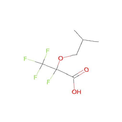 CC(C)COC(F)(C(=O)O)C(F)(F)F